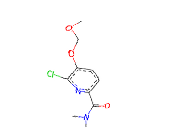 COCOc1ccc(C(=O)N(C)C)nc1Cl